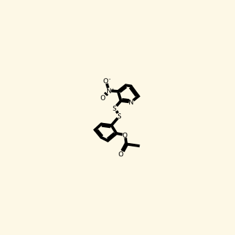 CC(=O)Oc1ccccc1SSc1ncccc1[N+](=O)[O-]